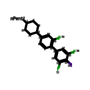 CCCCCC1CCC(c2ccc(-c3cc(F)c(I)c(F)c3)c(F)c2)CC1